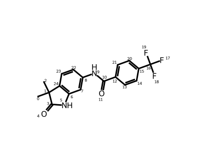 CC1(C)C(=O)Nc2cc(NC(=O)c3ccc(C(F)(F)F)cc3)ccc21